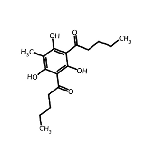 CCCCC(=O)c1c(O)c(C)c(O)c(C(=O)CCCC)c1O